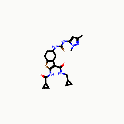 Cc1cc(NC(=S)NC2CCc3sc(NC(=O)C4CC4)c(C(=O)NCC4CC4)c3C2)n(C)n1